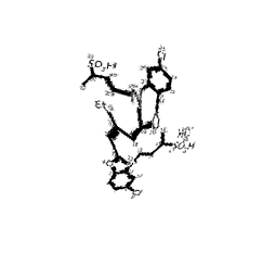 CCC(=Cc1oc2ccc(Cl)cc2[n+]1CCC(C)S(=O)(=O)O)C=C1Oc2ccc(Cl)cc2N1CCC(C)S(=O)(=O)O.[OH-]